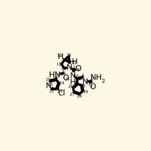 NC(=O)n1cc(NC(=O)N2[C@@H]3C[C@@H]3C[C@H]2C(=O)Nc2cncc(Cl)c2)c2ccccc21